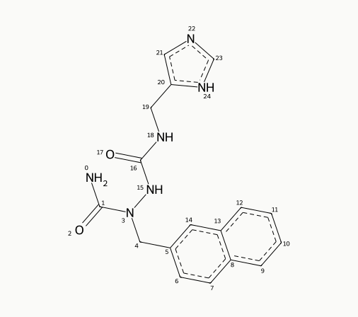 NC(=O)N(Cc1ccc2ccccc2c1)NC(=O)NCc1cnc[nH]1